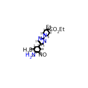 Bc1cc(-c2cnc(N3CCC(CC)(C(=O)OCC)CC3)nc2)cc(N=O)c1N